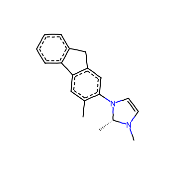 Cc1cc2c(cc1N1C=CN(C)[C@@H]1C)Cc1ccccc1-2